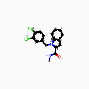 CNC(=O)c1cc2ccccc2n1Cc1ccc(Cl)c(Cl)c1